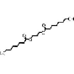 CCCCCCCC(=O)OC[CH]COC(=O)CCCCCCC